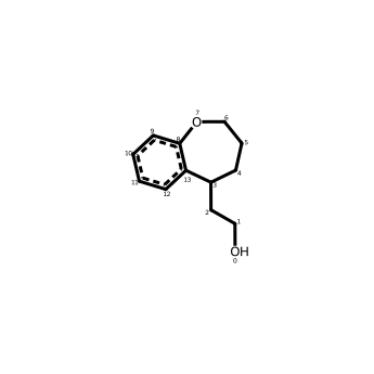 OCCC1CCCOc2ccccc21